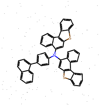 c1ccc2c(-c3ccc(N(c4cc5sc6ccccc6c5c5ccccc45)c4cc5sc6ccccc6c5c5ccccc45)cc3)cccc2c1